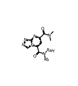 CN(C)C(=O)c1cc(C(=O)[N]([Rb])[RaH])n2cnnc2n1